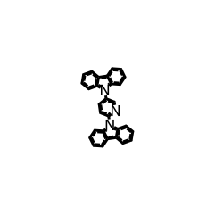 c1ccc2c(c1)c1ccccc1n2-c1ccc(-n2c3ccccc3c3ccccc32)nc1